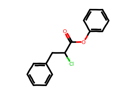 O=C(Oc1ccccc1)C(Cl)Cc1ccccc1